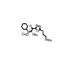 CCCC[C@@H](C(=O)c1nnc(SCCNC)o1)N(C=O)C1CCCCC1